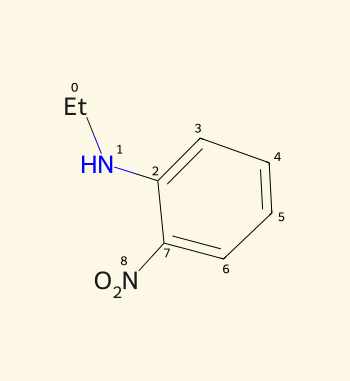 CCNc1ccccc1[N+](=O)[O-]